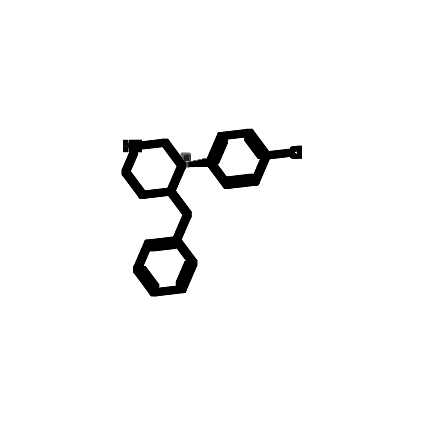 Clc1ccc([C@H]2CNCC[C]2Cc2ccccc2)cc1